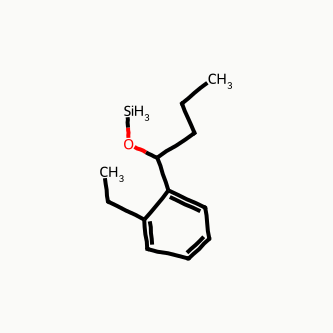 CCCC(O[SiH3])c1ccccc1CC